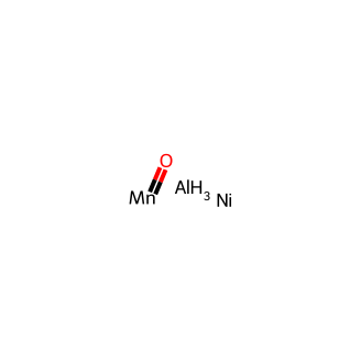 [AlH3].[Ni].[O]=[Mn]